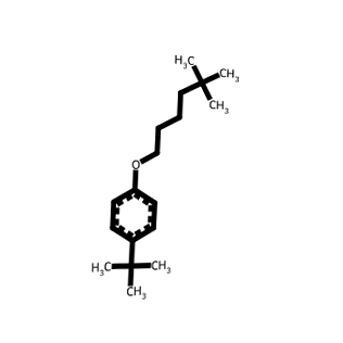 CC(C)(C)CCCCOc1ccc(C(C)(C)C)cc1